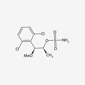 CO[C@@H](c1c(Cl)cccc1Cl)[C@H](C)OS(N)(=O)=O